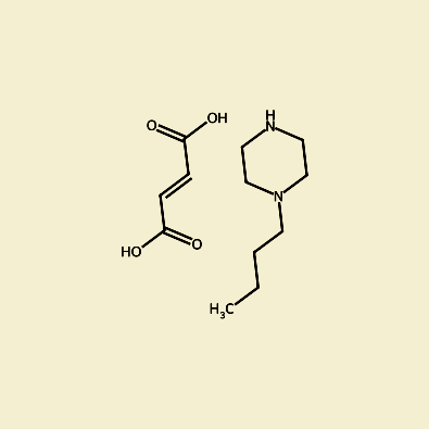 CCCCN1CCNCC1.O=C(O)/C=C/C(=O)O